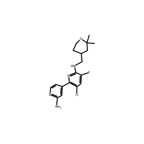 CC1(C)CC(CNc2nc(-c3ccnc(N)c3)c(Cl)cc2F)CCO1